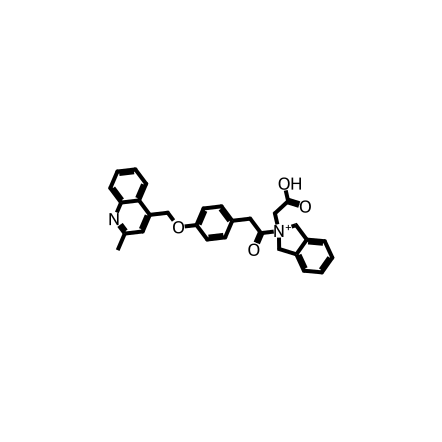 Cc1cc(COc2ccc(CC(=O)[N+]3(CC(=O)O)Cc4ccccc4C3)cc2)c2ccccc2n1